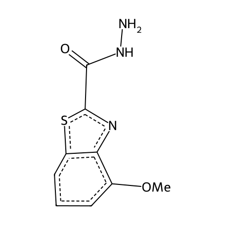 COc1cccc2sc(C(=O)NN)nc12